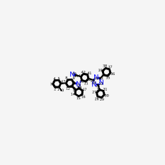 Cc1ccccc1-c1ccc2c(c1)c1ccccc1n2-c1cc(-c2nc(-c3ccccc3)nc(-c3ccccc3)n2)ccc1C#N